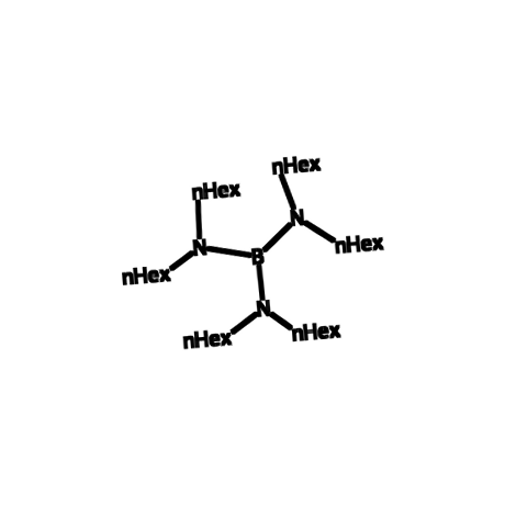 CCCCCCN(CCCCCC)B(N(CCCCCC)CCCCCC)N(CCCCCC)CCCCCC